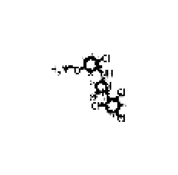 NCOc1ccc(Cl)c(NC2=NN(c3c(Cl)cc(Cl)cc3Cl)C(=O)C2)c1